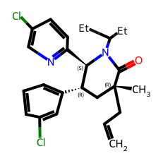 C=CC[C@]1(C)C[C@H](c2cccc(Cl)c2)[C@@H](c2ccc(Cl)cn2)N(C(CC)CC)C1=O